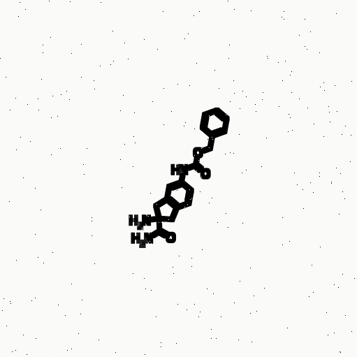 NC(=O)C1(N)Cc2ccc(NC(=O)OCc3ccccc3)cc2C1